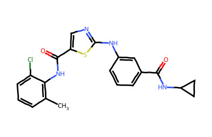 Cc1cccc(Cl)c1NC(=O)c1cnc(Nc2cccc(C(=O)NC3CC3)c2)s1